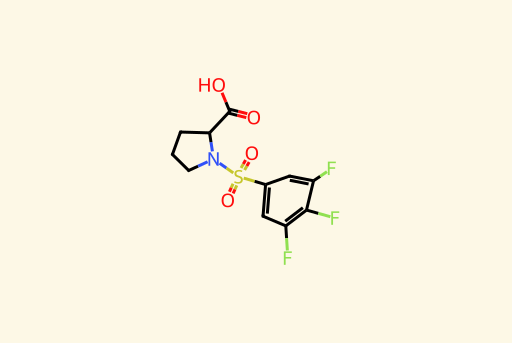 O=C(O)C1CCCN1S(=O)(=O)c1cc(F)c(F)c(F)c1